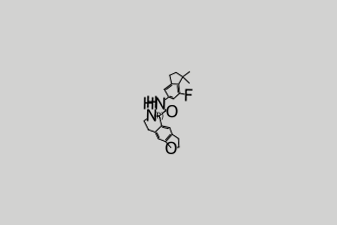 CC1(C)CCc2cc(NC(=O)[C@@H]3NCCc4cc5c(cc43)CCO5)cc(F)c21